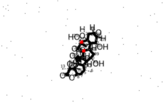 CC(=O)[C@@]12[C@H]3[C@H](C)CC4OC(=O)[C@@](C)(O)[C@]4(C)[C@@H]3C(=O)[C@H]1[C@@H]1C(=O)[C@H](O)[C@@]3(O)C[C@@H]4O[C@@H]4[C@H](O)[C@]3(C(C)=O)[C@H]1C[C@@H]2O